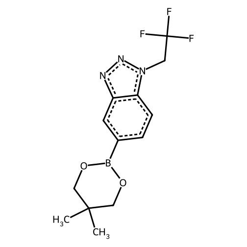 CC1(C)COB(c2ccc3c(c2)nnn3CC(F)(F)F)OC1